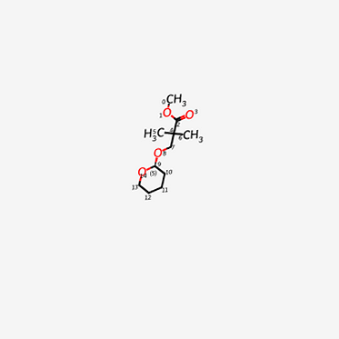 COC(=O)C(C)(C)CO[C@H]1CCCCO1